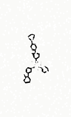 c1ccc(-c2nc(-c3ccc4c(c3)oc3cc5c(cc34)oc3ccccc35)nc(-c3ccc4sc5ccccc5c4c3)n2)cc1